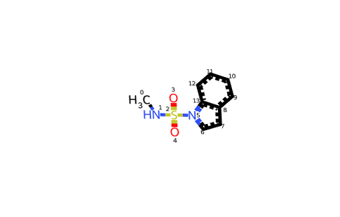 CNS(=O)(=O)n1ccc2ccccc21